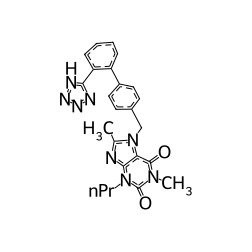 CCCn1c(=O)n(C)c(=O)c2c1nc(C)n2Cc1ccc(-c2ccccc2-c2nnn[nH]2)cc1